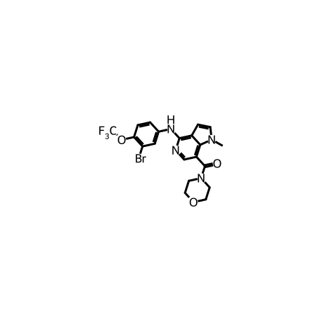 Cn1ccc2c(Nc3ccc(OC(F)(F)F)c(Br)c3)ncc(C(=O)N3CCOCC3)c21